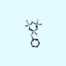 FP1(Oc2ccccc2)=CP(F)(F)=NP(F)(F)=N1